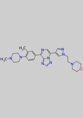 Cc1cc(-c2ncc(-c3cnn(CCN4CCOCC4)c3)n3n[c]nc23)ccc1N1CCN(C)CC1